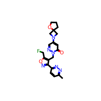 Cc1ccc(-c2noc(CF)c2Cn2ncc(N3CC4(CCCO4)C3)cc2=O)nn1